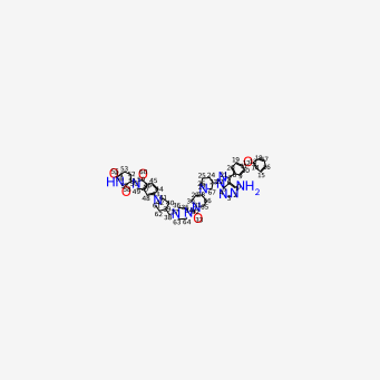 Nc1ncnc2c1c(-c1ccc(Oc3ccccc3)cc1)nn2[C@@H]1CCCN(C2CCN(C(=O)N3CCN(CC4CCN(c5ccc6c(c5)CN(C5CCC(=O)NC5=O)C6=O)CC4)CC3)CC2)C1